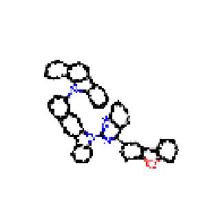 c1cc(-n2c3ccccc3c3ccc4ccccc4c32)c2cc3c(cc2c1)c1ccccc1n3-c1nc(-c2ccc3oc4ccccc4c3c2)c2ccccc2n1